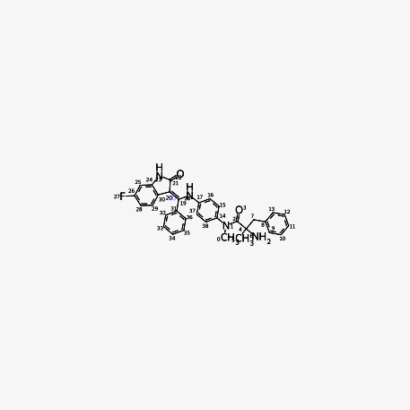 CN(C(=O)C(C)(N)Cc1ccccc1)c1ccc(N/C(=C2\C(=O)Nc3cc(F)ccc32)c2ccccc2)cc1